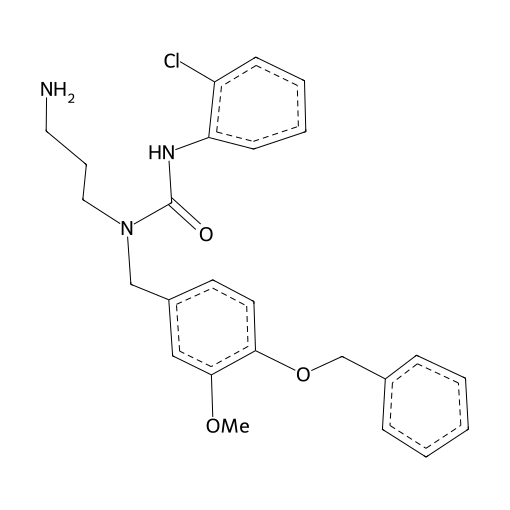 COc1cc(CN(CCCN)C(=O)Nc2ccccc2Cl)ccc1OCc1ccccc1